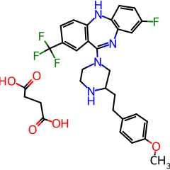 COc1ccc(CCC2CN(C3=Nc4cc(F)ccc4Nc4ccc(C(F)(F)F)cc43)CCN2)cc1.O=C(O)CCC(=O)O